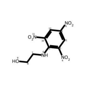 O=[N+]([O-])c1cc([N+](=O)[O-])c(NCCO)c([N+](=O)[O-])c1